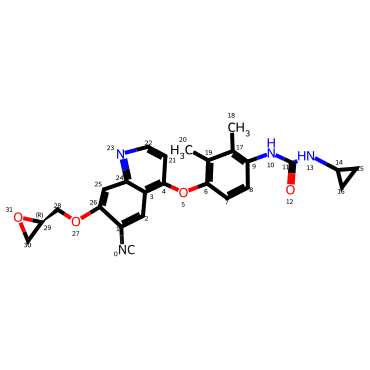 [C-]#[N+]c1cc2c(Oc3ccc(NC(=O)NC4CC4)c(C)c3C)ccnc2cc1OC[C@H]1CO1